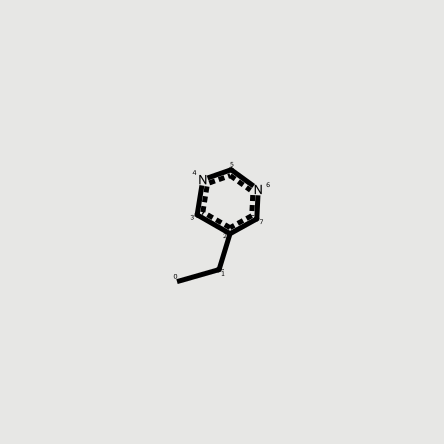 C[CH]c1cncnc1